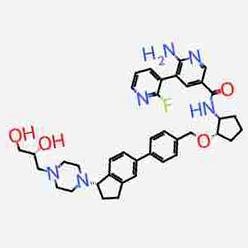 Nc1ncc(C(=O)N[C@H]2CCC[C@@H]2OCc2ccc(-c3ccc4c(c3)CC[C@@H]4N3CCN(C[C@@H](O)CO)CC3)cc2)cc1-c1cccnc1F